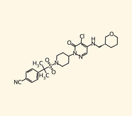 CC(C)(c1ccc(C#N)cc1)S(=O)(=O)N1CCC(n2ncc(NC[C@@H]3CCCOC3)c(Cl)c2=O)CC1